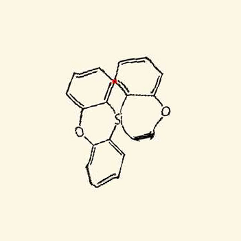 c1ccc2c(c1)Oc1ccccc1[Si]21c2ccccc2Oc2ccccc21